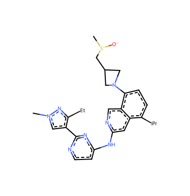 CCc1nn(C)cc1-c1nccc(Nc2cc3c(C(C)C)ccc(N4CC(C[S+](C)[O-])C4)c3cn2)n1